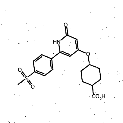 CS(=O)(=O)c1ccc(-c2cc(OC3CCC(C(=O)O)CC3)cc(=O)[nH]2)cc1